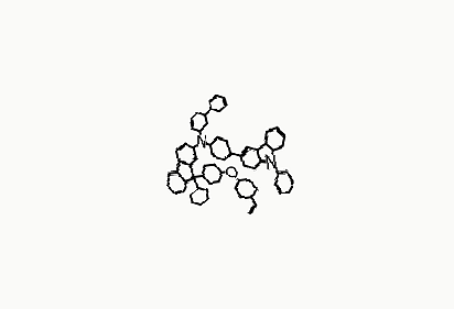 C=CC1CCC(OC2CCC(C3(C4CCCCC4)C4C=CCCC4C4C=CC(N(C5C=CCC(C6C=CC=CC6)C5)C5CCC(C6=CC7C8CC=CCC8N(C8C=CCCC8)C7CC6)CC5)CC43)CC2)CC1